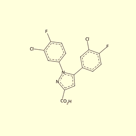 O=C(O)c1cc(-c2ccc(F)c(Cl)c2)n(-c2ccc(F)c(Cl)c2)n1